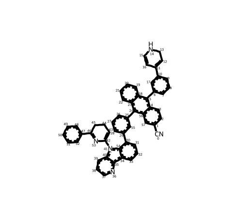 N#Cc1ccc2c(-c3cccc(C4=CCNC=C4)c3)c3ccccc3c(-c3cccc(-c4cccc5c6ncccc6n(C6=CCCC(c7ccccc7)=N6)c45)c3)c2c1